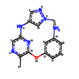 Cc1ncc(Nc2cnn(C)c2)nc1Oc1cccc(N)c1